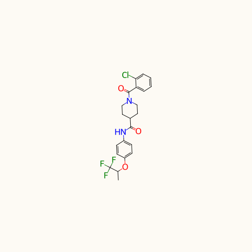 CC(Oc1ccc(NC(=O)C2CCN(C(=O)c3ccccc3Cl)CC2)cc1)C(F)(F)F